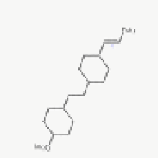 CCCC/C=C/C1CCC(CCC2CCC(OC)CC2)CC1